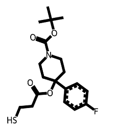 CC(C)(C)OC(=O)N1CCC(OC(=O)CCS)(c2ccc(F)cc2)CC1